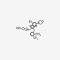 CCc1cc(N2CCOCC2)nn2c(Cc3cccc(C(F)(F)F)c3C)c(CN3CC4(CC(O)C4)C3)nc12